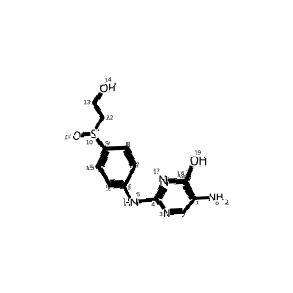 Nc1cnc(Nc2ccc([S+]([O-])CCO)cc2)nc1O